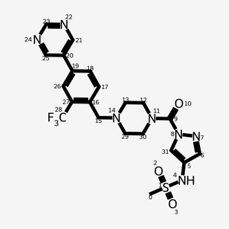 CS(=O)(=O)Nc1cnn(C(=O)N2CCN(Cc3ccc(-c4cncnc4)cc3C(F)(F)F)CC2)c1